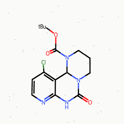 CC(C)(C)OC(=O)N1CCCN2C(=O)Nc3nccc(Cl)c3C21